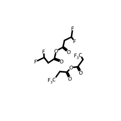 O=C(CC(F)(F)F)OC(=O)CC(F)(F)F.O=C(CC(F)F)OC(=O)CC(F)F